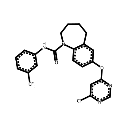 O=C(Nc1cccc(C(F)(F)F)c1)N1CCCCc2cc(Oc3cc(Cl)ncn3)ccc21